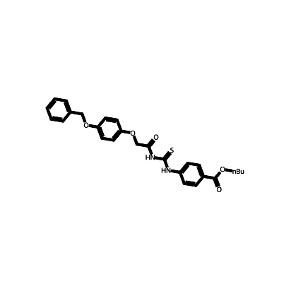 CCCCOC(=O)c1ccc(NC(=S)NC(=O)COc2ccc(OCc3ccccc3)cc2)cc1